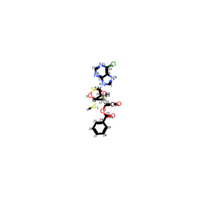 CS[C@@]12OS[C@@](n3cnc4c(Cl)ncnc43)(O[C@@H]1C(=C=O)OC(=O)c1ccccc1)[C@H]2F